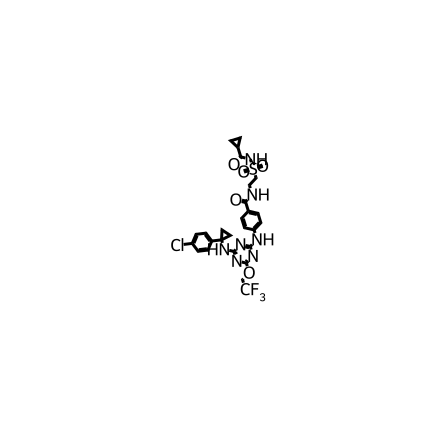 O=C(NCCS(=O)(=O)NC(=O)C1CC1)c1ccc(Nc2nc(NC3(c4ccc(Cl)cc4)CC3)nc(OCC(F)(F)F)n2)cc1